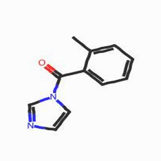 Cc1ccccc1C(=O)n1ccnc1